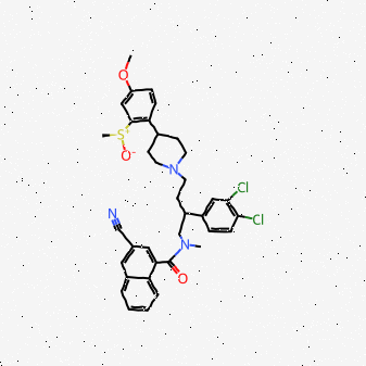 COc1ccc(C2CCN(CCC(CN(C)C(=O)c3cc(C#N)cc4ccccc34)c3ccc(Cl)c(Cl)c3)CC2)c([S@+](C)[O-])c1